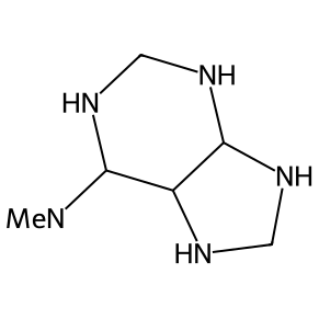 CNC1NCNC2NCNC12